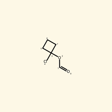 O=COC1(Cl)CCC1